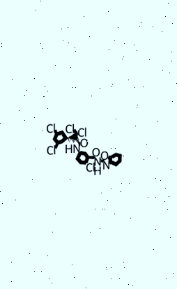 O=C(Nc1nc2ccccc2o1)c1cc(NC(=O)[C@H]2[C@H](c3cc(Cl)cc(Cl)c3)C2(Cl)Cl)ccc1Cl